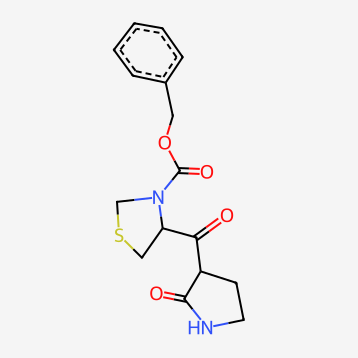 O=C1NCCC1C(=O)C1CSCN1C(=O)OCc1ccccc1